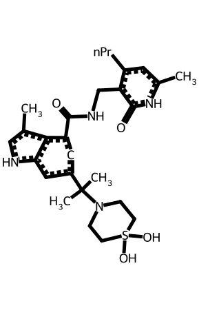 CCCc1cc(C)[nH]c(=O)c1CNC(=O)c1cc(C(C)(C)N2CCS(O)(O)CC2)cc2[nH]cc(C)c12